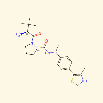 CC1=C(c2ccc(C(C)NC(=O)[C@@H]3CCCN3C(=O)[C@@H](N)C(C)(C)C)cc2)SCN1